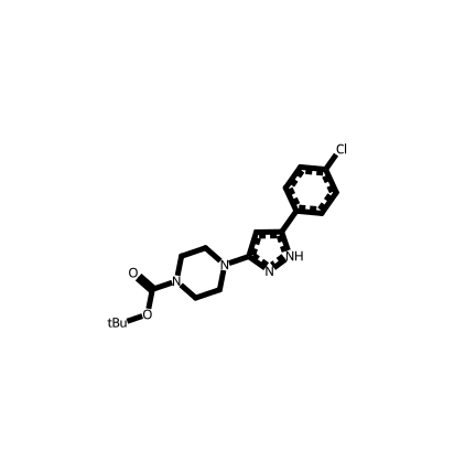 CC(C)(C)OC(=O)N1CCN(c2cc(-c3ccc(Cl)cc3)[nH]n2)CC1